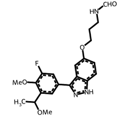 COc1c(F)cc(-c2n[nH]c3ccc(OCCCNC=O)cc23)cc1C(C)OC